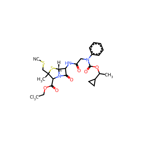 CC(OC(=O)N(CC(=O)NC1C(=O)N2C(C(=O)OCC(Cl)(Cl)Cl)C(C)(CSC#N)S[C@H]12)c1ccccc1)C1CC1